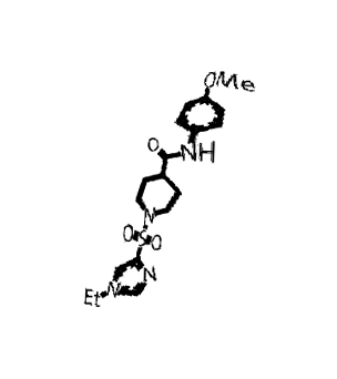 CCn1cnc(S(=O)(=O)N2CCC(C(=O)Nc3ccc(OC)cc3)CC2)c1